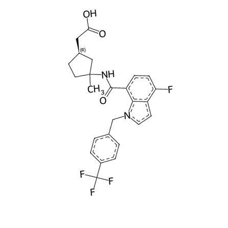 CC1(NC(=O)c2ccc(F)c3ccn(Cc4ccc(C(F)(F)F)cc4)c23)CC[C@@H](CC(=O)O)C1